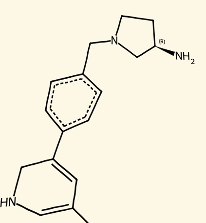 CC1=CNCC(c2ccc(CN3CC[C@@H](N)C3)cc2)=C1